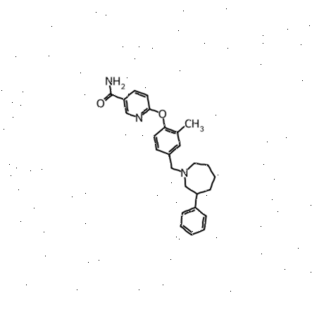 Cc1cc(CN2CCCCC(c3ccccc3)C2)ccc1Oc1ccc(C(N)=O)cn1